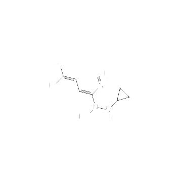 C=N/C(=C\C=C(\C)C(C)C)N(C)NC1CC1